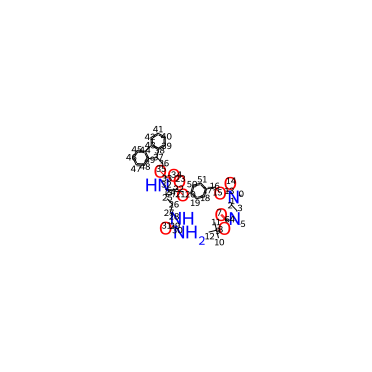 CN(CCN(C)C(=O)OC(C)(C)C)C(=O)OCc1ccc(OC(=O)[C@H](CCCNC(N)=O)NC(=O)OCC2c3ccccc3-c3ccccc32)cc1